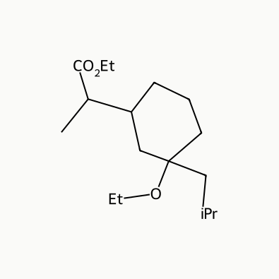 CCOC(=O)C(C)C1CCCC(CC(C)C)(OCC)C1